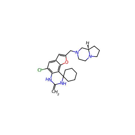 C=C1Nc2c(Cl)cc3cc(CN4CCN5CCC[C@H]5C4)oc3c2C2(CCCCC2)N1